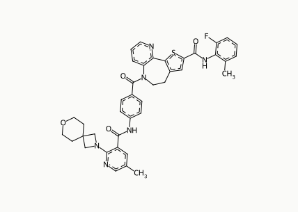 Cc1cnc(N2CC3(CCOCC3)C2)c(C(=O)Nc2ccc(C(=O)N3CCc4cc(C(=O)Nc5c(C)cccc5F)sc4-c4ncccc43)cc2)c1